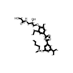 CCCCN(C)Cc1cc(-c2nc(-c3cc(C)c(OC[C@@H](O)CNC(=O)CO)c(CC)c3)no2)cc(C(C)C)c1